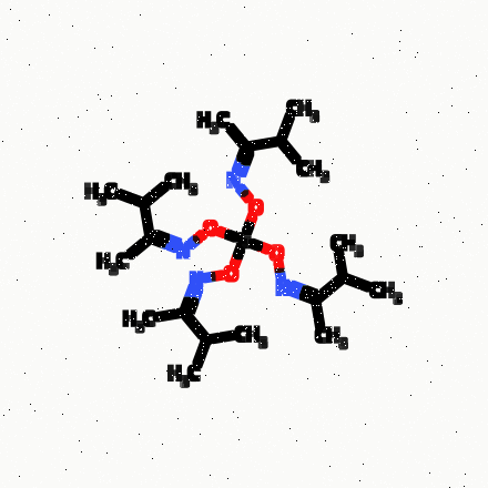 CC(=NO[Si](ON=C(C)C(C)C)(ON=C(C)C(C)C)ON=C(C)C(C)C)C(C)C